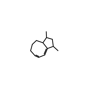 CC1CC(C)C2CCC/C=C\C=C\12